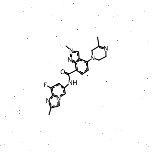 CC1=NCCN(c2ccc(C(=O)Nc3cc(F)c4nc(C)cn4c3)c3nn(C)cc23)C1